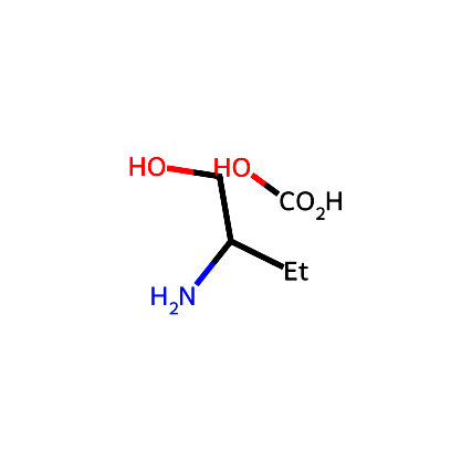 CCC(N)CO.O=C(O)O